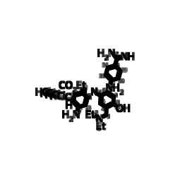 CCN(CC)Cc1cc(N)ccc1O.CCOC(=O)c1ccc(N)cc1.Cl.Cl.Cl.Cl.Cl.N=C(N)c1ccc(N)cc1